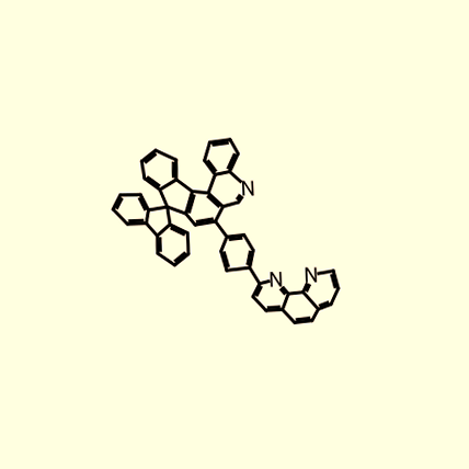 c1ccc2c(c1)-c1ccccc1C21c2ccccc2-c2c1cc(-c1ccc(-c3ccc4ccc5cccnc5c4n3)cc1)c1cnc3ccccc3c21